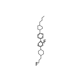 CCCCC1CCC(c2ccc(-c3ccc(C4CCC(CCCF)CC4)cc3F)cc2)CC1